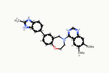 COc1cc2ncnc(N3CCOc4ccc(-c5ccc6nc(C)[nH]c6c5)cc4C3)c2cc1OC